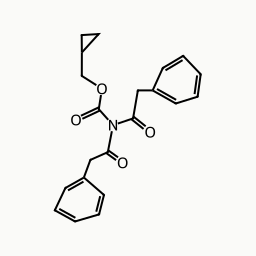 O=C(Cc1ccccc1)N(C(=O)Cc1ccccc1)C(=O)OCC1CC1